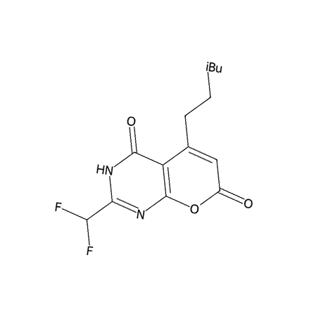 CCC(C)CCc1cc(=O)oc2nc(C(F)F)[nH]c(=O)c12